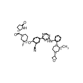 C[C@H]1CN(C2COC2)CCN1c1ccccc1Nc1ncnc(-c2ccc(O[C@H]3CCN(C(=O)[C@@H]4CCC(=O)N4)C[C@H]3F)c(C#N)c2)n1